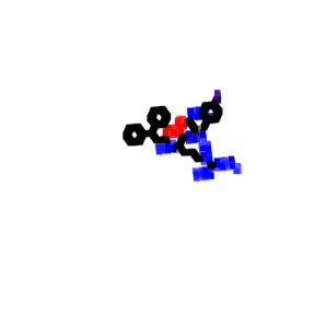 N=C(N)NCCC[C@@H](NC(=O)CC(c1ccccc1)c1ccccc1)C(=O)N[C@@H](Cc1ccc(I)cc1)C(N)=O